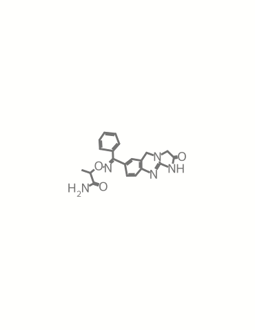 CC(ON=C(c1ccccc1)c1ccc2c(c1)CN1CC(=O)NC1=N2)C(N)=O